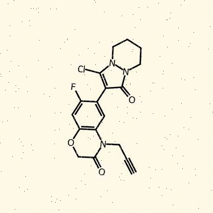 C#CCN1C(=O)COc2cc(F)c(-c3c(Cl)n4n(c3=O)CCCC4)cc21